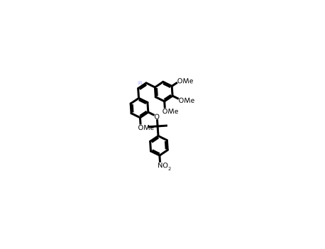 COc1ccc(/C=C\c2cc(OC)c(OC)c(OC)c2)cc1OC(C)(C)c1ccc([N+](=O)[O-])cc1